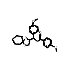 COc1ccc(C(=O)CC(c2ccc(OC)cc2)C2COC3(CCCCC3)O2)cc1